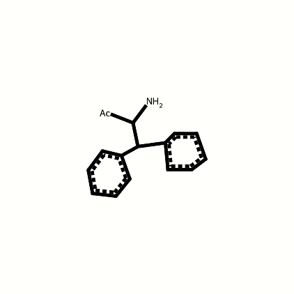 CC(=O)C(N)C(c1ccccc1)c1ccccc1